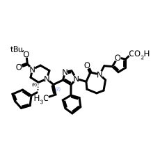 C/C=C(/c1ncn(C2CCCCN(Cc3ccc(C(=O)O)o3)C2=O)c1-c1ccccc1)N1CCN(C(=O)OC(C)(C)C)C[C@H]1Cc1ccccc1